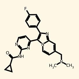 CN(C)Cc1ccn2c(-c3ccnc(NC(=O)C4CC4)n3)c(-c3ccc(F)cc3)nc2c1